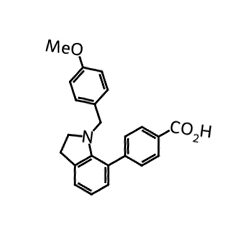 COc1ccc(CN2CCc3cccc(-c4ccc(C(=O)O)cc4)c32)cc1